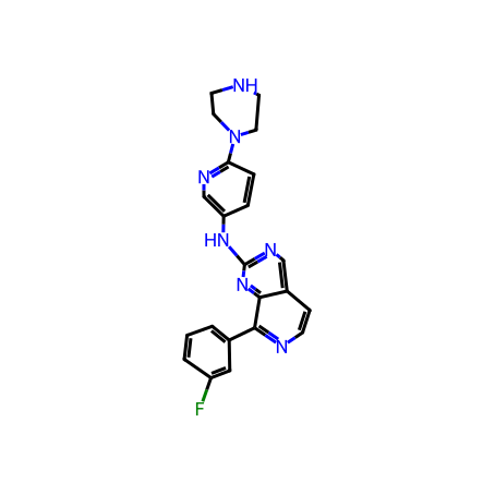 Fc1cccc(-c2nccc3cnc(Nc4ccc(N5CCNCC5)nc4)nc23)c1